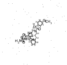 COc1ccc(C2(C(=O)N(CCCc3ccccc3)Cc3nc(C(=O)NS(N)(=O)=O)c(C)s3)CC2)cc1